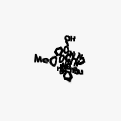 CCCCc1ccccc1S(=O)(=O)Nc1nc(-c2ncccn2)nc(OCCO)c1Oc1ccccc1OC